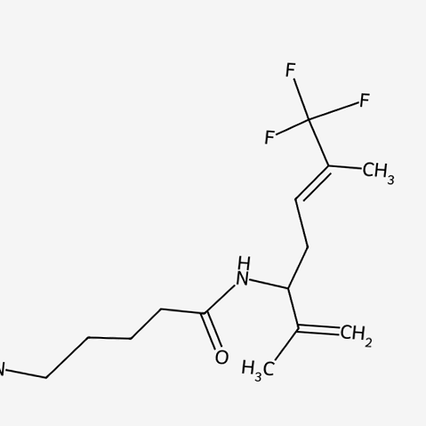 C=C(C)C(C/C=C(\C)C(F)(F)F)NC(=O)CCCCN